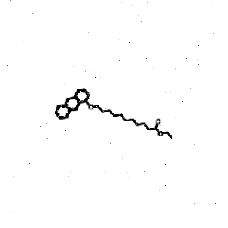 CCOC(=O)CCCCCCCCCCOc1cccc2cc3ccccc3cc12